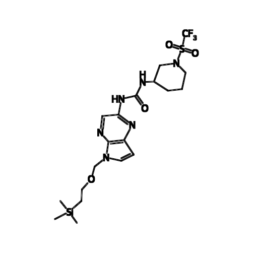 C[Si](C)(C)CCOCn1ccc2nc(NC(=O)NC3CCCN(S(=O)(=O)C(F)(F)F)C3)cnc21